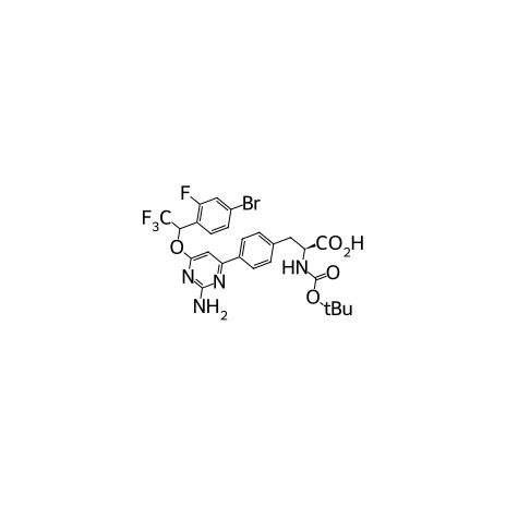 CC(C)(C)OC(=O)N[C@@H](Cc1ccc(-c2cc(OC(c3ccc(Br)cc3F)C(F)(F)F)nc(N)n2)cc1)C(=O)O